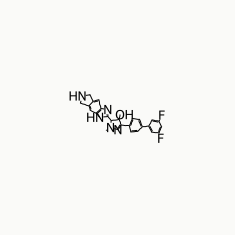 CN1N=C(c2ccc(-c3cc(F)cc(F)c3)cc2)C(O)C1c1nc2cc3c(cc2[nH]1)CNC3